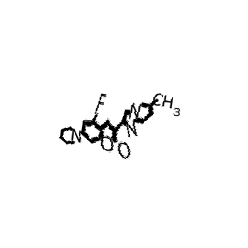 Cc1ccc2nc(-c3cc4c(F)cc(N5CCCCC5)cc4oc3=O)cn2c1